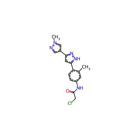 Cc1cc(NC(=O)CCl)ccc1-c1cc(-c2cnn(C)c2)n[nH]1